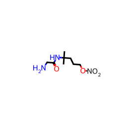 CC(C)(CCCO[N+](=O)[O-])NC(=O)CN